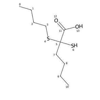 CCCCSC(S)(CCCC)C(=O)O